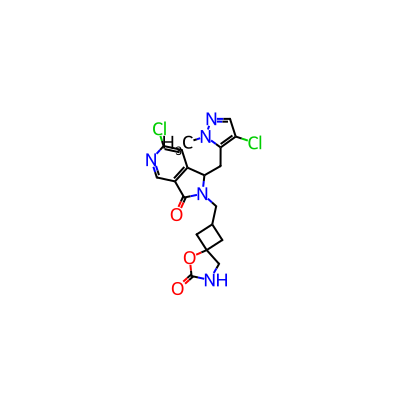 Cn1ncc(Cl)c1CC1c2cc(Cl)ncc2C(=O)N1CC1CC2(CNC(=O)O2)C1